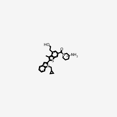 Cc1c(-c2cc3ccccc3n2CC2CC2)sc2cc(C(=O)N3CCC[C@@H](N)C3)cc(CCO)c12